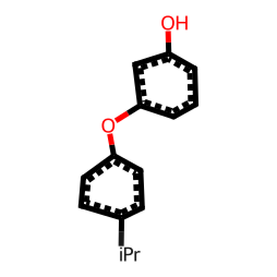 CC(C)c1ccc(Oc2cccc(O)c2)cc1